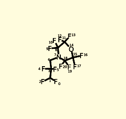 FC(F)C(F)(F)CN1C(F)(F)C(F)(F)OC(F)(F)C1(F)F